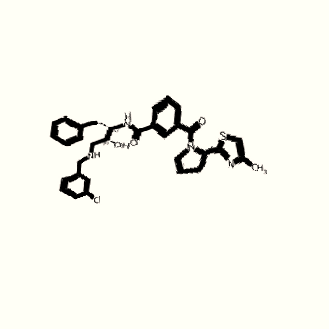 Cc1csc(C2CCCN2C(=O)c2cccc(C(=O)N[C@@H](Cc3ccccc3)[C@H](O)CNCc3cccc(Cl)c3)c2)n1